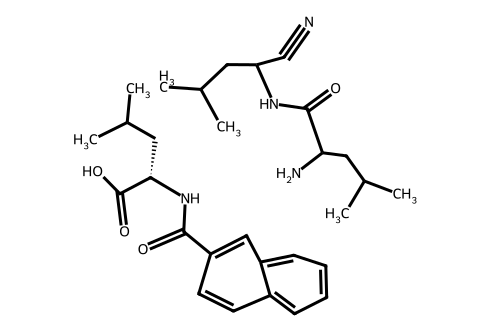 CC(C)CC(C#N)NC(=O)C(N)CC(C)C.CC(C)C[C@H](NC(=O)c1ccc2ccccc2c1)C(=O)O